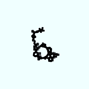 CCn1c(-c2cccnc2[C@H](C)OC)c2c3cc(ccc31)-c1csc(n1)C[C@H](NC(=O)CCOC1CN(C(=O)C#CC(C)(C)N(C)C)C1)C(=O)N1CCC[C@@](O)(N1)C(=O)OCC(C)(C)C2